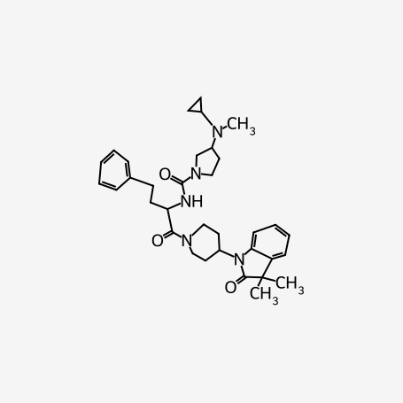 CN(C1CC1)C1CCN(C(=O)NC(CCc2ccccc2)C(=O)N2CCC(N3C(=O)C(C)(C)c4ccccc43)CC2)C1